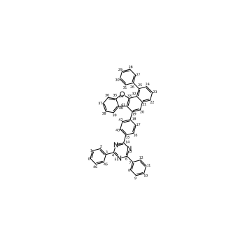 c1ccc(-c2nc(-c3ccccc3)nc(-c3ccc(-c4cc5cccc(-c6ccccc6)c5c5oc6ccccc6c45)cc3)n2)cc1